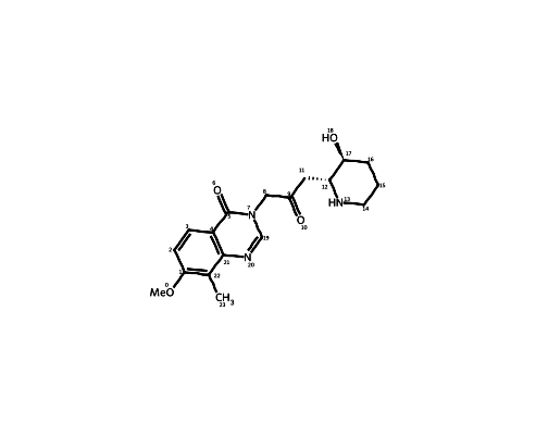 COc1ccc2c(=O)n(CC(=O)C[C@H]3NCCC[C@@H]3O)cnc2c1C